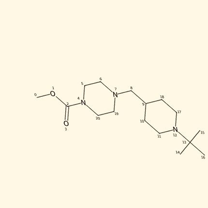 COC(=O)N1CCN(CC2CCN(C(C)(C)C)CC2)CC1